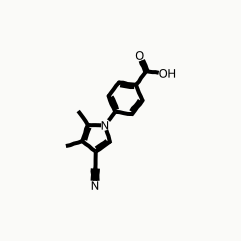 Cc1c(C#N)cn(-c2ccc(C(=O)O)cc2)c1C